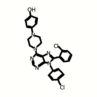 Oc1ccc(N2CCN(c3ncnc4c3nc(-c3ccccc3Cl)n4-c3ccc(Cl)cc3)CC2)cc1